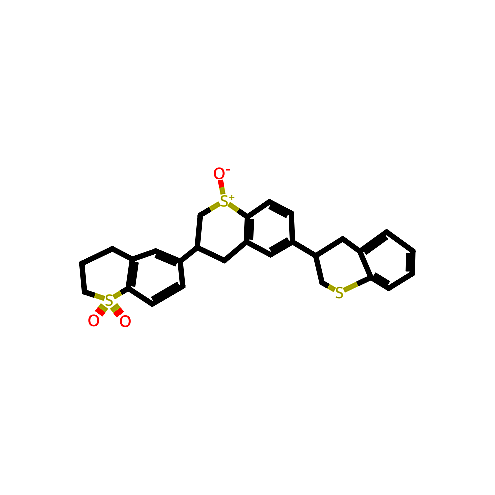 O=S1(=O)CCCc2cc(C3Cc4cc(C5CSc6ccccc6C5)ccc4[S+]([O-])C3)ccc21